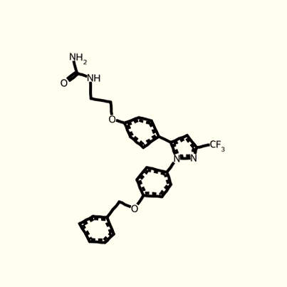 NC(=O)NCCOc1ccc(-c2cc(C(F)(F)F)nn2-c2ccc(OCc3ccccc3)cc2)cc1